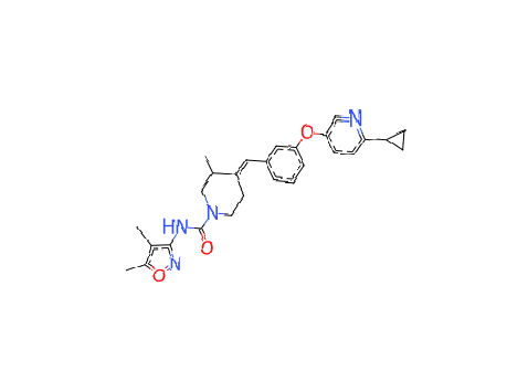 Cc1onc(NC(=O)N2CC/C(=C\c3cccc(Oc4ccc(C5CC5)nc4)c3)C(C)C2)c1C